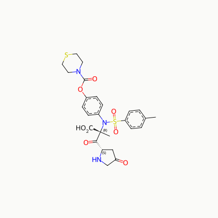 Cc1ccc(S(=O)(=O)N(c2ccc(OC(=O)N3CCSCC3)cc2)[C@@](C)(C(=O)O)C(=O)[C@@H]2CC(=O)CN2)cc1